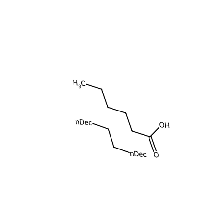 CCCCCC(=O)O.CCCCCCCCCCCCCCCCCCCCCC